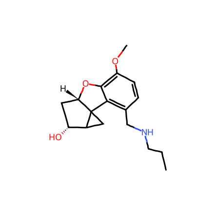 CCCNCc1ccc(OC)c2c1C13CC1[C@H](O)C[C@@H]3O2